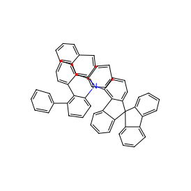 c1ccc(-c2ccccc2-c2c(-c3ccccc3)cccc2N(c2ccc3ccccc3c2)c2cccc3c2-c2ccccc2C32c3ccccc3-c3ccccc32)cc1